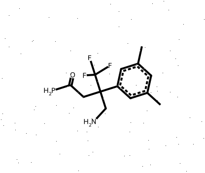 Cc1cc(C)cc(C(CN)(CC(=O)P)C(F)(F)F)c1